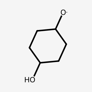 [O]C1CCC(O)CC1